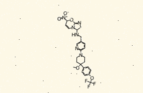 COC1(c2ccc(OC(F)(F)F)cc2)CCN(c2ccc(CNC3CN=C4O[C@H]([N+](=O)[O-])C=CN43)cn2)CC1